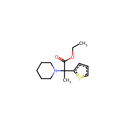 CCOC(=O)C(C)(c1cccs1)N1CCCCC1